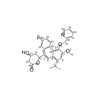 COc1cc(C(C)C)c(/C=C/C2CC(O)CC(=O)O2)c(-c2ccc(F)cc2)c1OCc1ccccn1